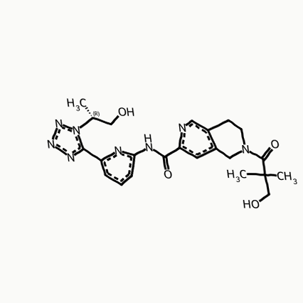 C[C@H](CO)n1nnnc1-c1cccc(NC(=O)c2cc3c(cn2)CCN(C(=O)C(C)(C)CO)C3)n1